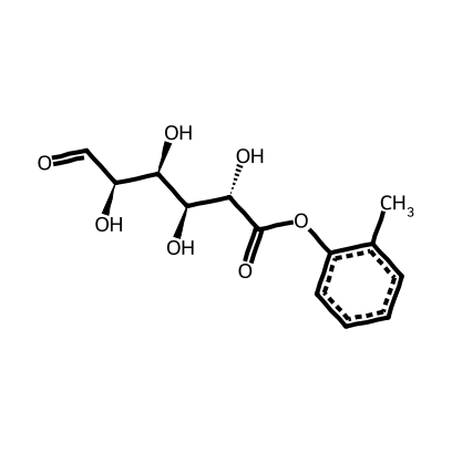 Cc1ccccc1OC(=O)[C@@H](O)[C@@H](O)[C@H](O)[C@@H](O)C=O